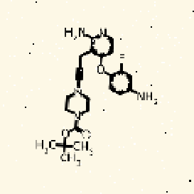 CC(C)(C)OC(=O)N1CCN(C#CCc2c(Oc3ccc(N)cc3F)ccnc2N)CC1